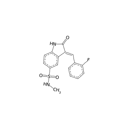 CNS(=O)(=O)c1ccc2c(c1)C(=Cc1ccccc1F)C(=O)N2